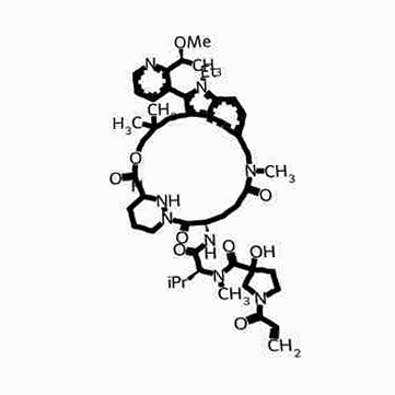 C=CC(=O)N1CCC(O)(C(=O)N(C)[C@H](C(=O)N[C@H]2CCC(=O)N(C)Cc3ccc4c(c3)c(c(-c3cccnc3[C@H](C)OC)n4CC)CC(C)(C)COC(=O)[C@@H]3CCCN(N3)C2=O)C(C)C)C1